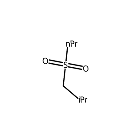 CCCS(=O)(=O)CC(C)C